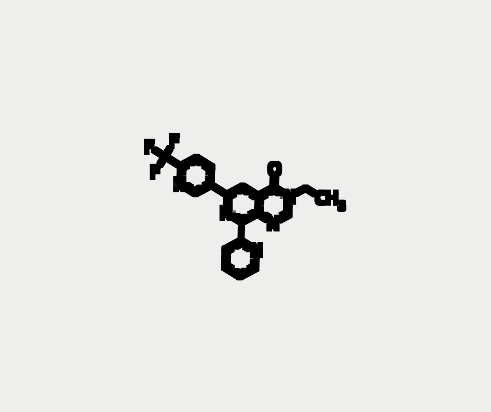 CCn1cnc2c(-c3ccccn3)nc(-c3ccc(C(F)(F)F)nc3)cc2c1=O